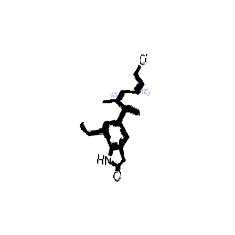 C=C(/C(C)=C\C=C/CCl)c1cc(CC)c2c(c1)CC(=O)N2